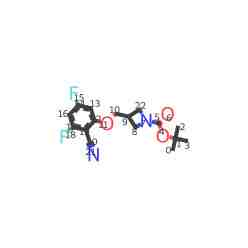 CC(C)(C)OC(=O)N1CC(COc2cc(F)cc(F)c2C#N)C1